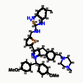 COc1ccc(C(c2ccc(OC)cc2)n2nc(-c3ccc(CNC(=S)Nc4cc(C)ccc4N)s3)c3c2-c2ccc(CN4CCN(C)CC4)cc2C3)cc1